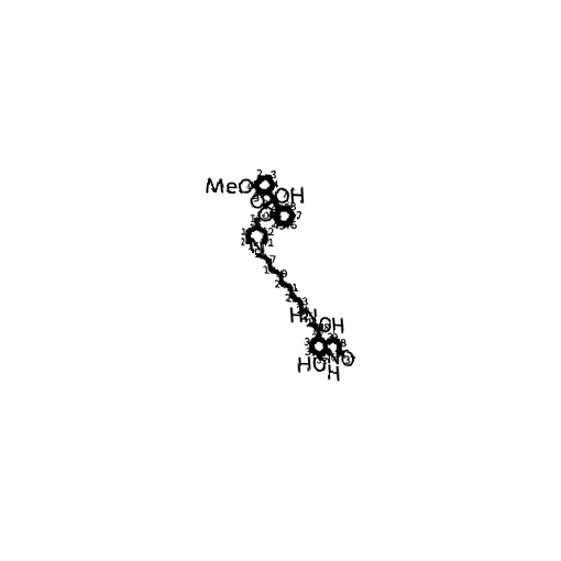 COc1cccc(C(O)(C(=O)OCC2CCN(CCCCCCCCCNC[C@H](O)c3ccc(O)c4[nH]c(=O)ccc34)CC2)c2ccccc2)c1